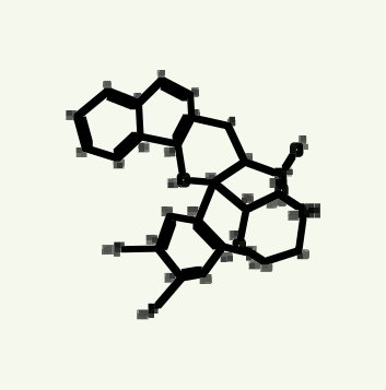 O=[N+]([O-])C1Cc2ccc3ccccc3c2OC1(c1cc(F)c(F)cc1F)C1CNCCO1